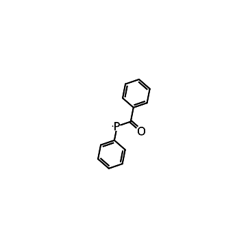 O=C([P]c1ccccc1)c1ccccc1